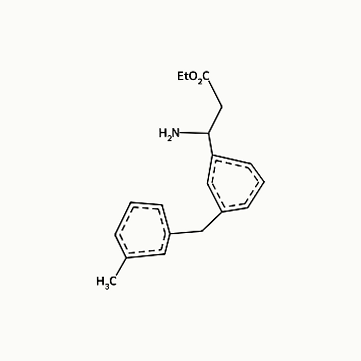 CCOC(=O)CC(N)c1cccc(Cc2cccc(C)c2)c1